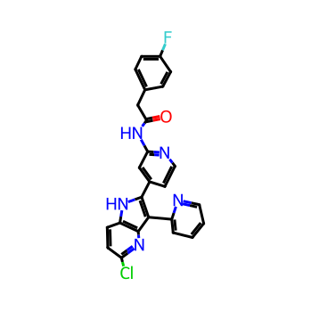 O=C(Cc1ccc(F)cc1)Nc1cc(-c2[nH]c3ccc(Cl)nc3c2-c2ccccn2)ccn1